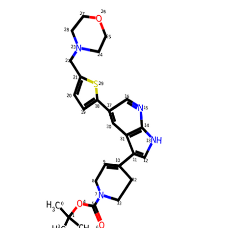 CC(C)(C)OC(=O)N1CC=C(c2c[nH]c3ncc(-c4ccc(CN5CCOCC5)s4)cc23)CC1